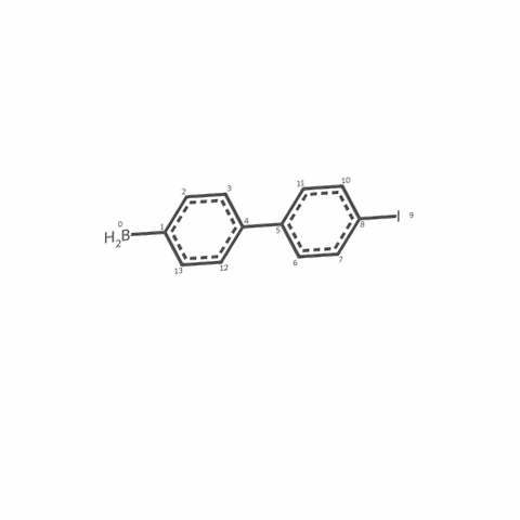 Bc1ccc(-c2ccc(I)cc2)cc1